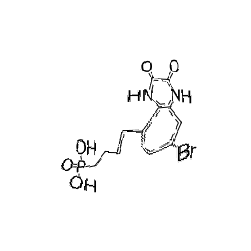 O=c1[nH]c2cc(Br)cc(/C=C/CCP(=O)(O)O)c2[nH]c1=O